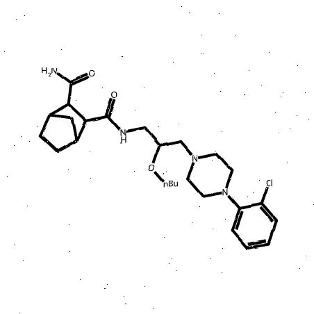 CCCCOC(CNC(=O)C1C2CCC(C2)C1C(N)=O)CN1CCN(c2ccccc2Cl)CC1